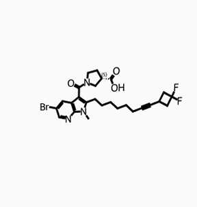 Cn1c(CCCCCCC#CC2CC(F)(F)C2)c(C(=O)N2CC[C@H](C(=O)O)C2)c2cc(Br)cnc21